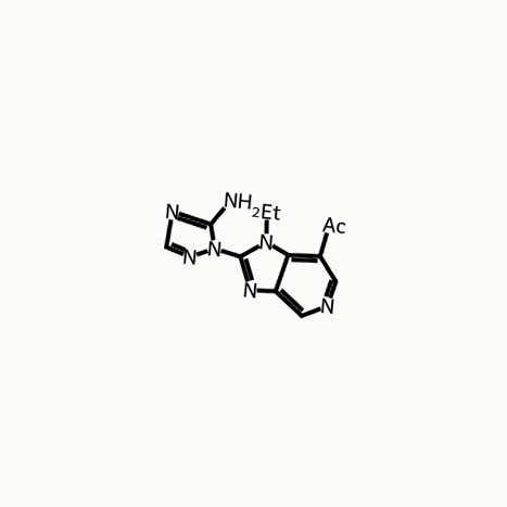 CCn1c(-n2ncnc2N)nc2cncc(C(C)=O)c21